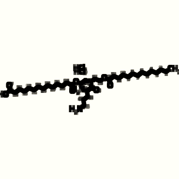 CCCCCCCCCCCCCC(=O)OCCN(CCOC(=O)CCCCCCCCCCCCC(=O)O)C(=O)[C@@H](N)CCCN.Cl.Cl